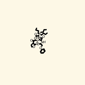 CCCCP(CCCC)(CCCC)=C(C(=O)O)N1C(=O)[C@@H](NC(=O)COc2ccccc2)[C@H]1SCC(=O)C1CCOC1=O